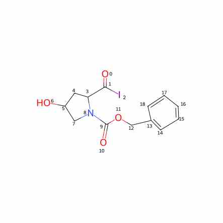 O=C(I)C1CC(O)CN1C(=O)OCc1ccccc1